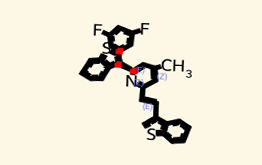 CC(=C/C(/C=C/c1csc2ccccc12)=N\CCc1cc(F)cc(F)c1)/C=C/c1csc2ccccc12